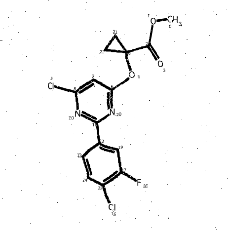 COC(=O)C1(Oc2cc(Cl)nc(-c3ccc(Cl)c(F)c3)n2)CC1